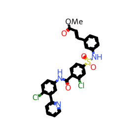 COC(=O)/C=C/c1cccc(NS(=O)(=O)c2ccc(C(=O)Nc3ccc(Cl)c(-c4ccccn4)c3)c(Cl)c2)c1